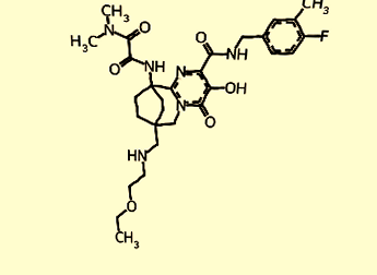 CCOCCNCC12CCC(NC(=O)C(=O)N(C)C)(CC1)c1nc(C(=O)NCc3ccc(F)c(C)c3)c(O)c(=O)n1C2